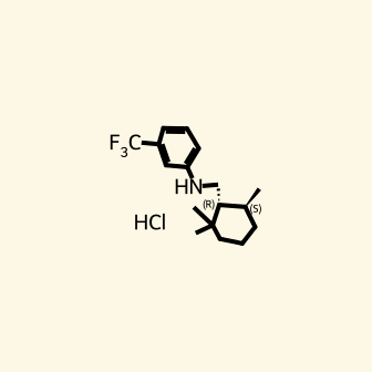 C[C@H]1CCCC(C)(C)[C@@H]1CNc1cccc(C(F)(F)F)c1.Cl